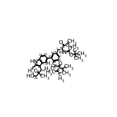 COC(=O)[C@H](Cc1cc(O[Si](C(C)C)(C(C)C)C(C)C)cc(-c2ccc3[nH]c(I)c(CC(C)(C)CO)c3c2)c1)NC(=O)OC(C)(C)C